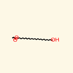 C=CC(=O)OCCCCCCCCCCCCCCCCCCCCCCCO